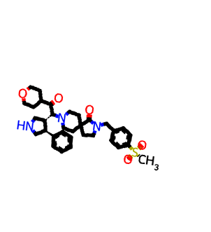 CS(=O)(=O)c1ccc(CN2CCC3(CCN(C(C(=O)C4CCOCC4)[C@H]4CNC[C@@H]4c4ccccc4)CC3)C2=O)cc1